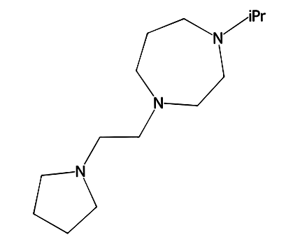 CC(C)N1CCCN(CCN2CCCC2)CC1